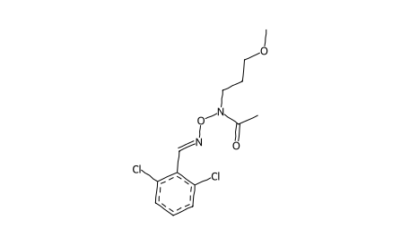 COCCCN(ON=Cc1c(Cl)cccc1Cl)C(C)=O